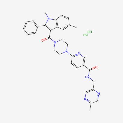 Cc1ccc2c(c1)c(C(=O)N1CCN(c3ccc(C(=O)NCc4cnc(C)cn4)cn3)CC1)c(-c1ccccc1)n2C.Cl.Cl